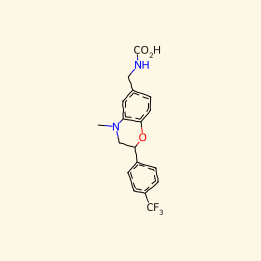 CN1CC(c2ccc(C(F)(F)F)cc2)Oc2ccc(CNC(=O)O)cc21